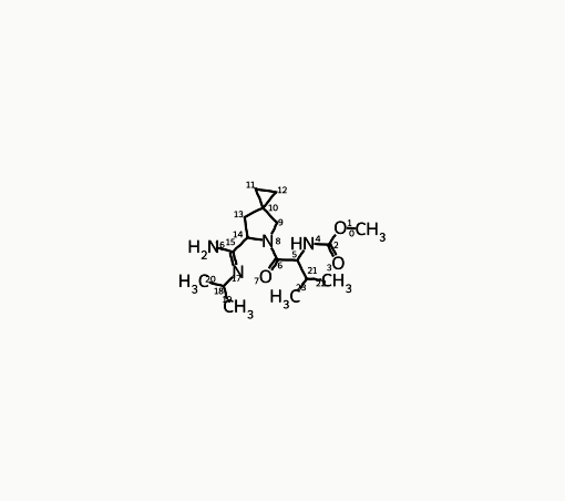 COC(=O)NC(C(=O)N1CC2(CC2)CC1/C(N)=N/C(C)C)C(C)C